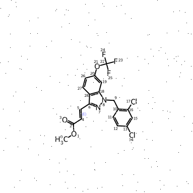 COC(=O)/C=C/c1nn(Cc2ccc(Cl)cc2Cl)c2cc(OC(F)(F)F)ccc12